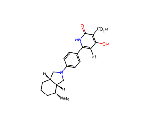 CCc1c(-c2ccc(N3C[C@H]4CCC[C@H](NC)[C@H]4C3)cc2)[nH]c(=O)c(C(=O)O)c1O